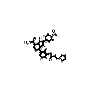 Cc1c(NC(=O)CCN2CCCC2)cccc1-c1ccc(C(N)=O)c2[nH]c(C3=CCN([S+](C)[O-])CC3)cc12